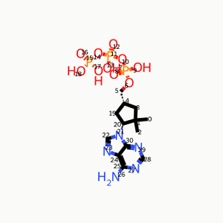 CC1(C)C[C@@H](COP(=O)(O)OP(=O)(O)OP(=O)(O)O)C[C@H]1n1cnc2c(N)ncnc21